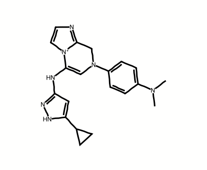 CN(C)c1ccc(N2C=C(Nc3cc(C4CC4)[nH]n3)[N+]3C=CN=C3C2)cc1